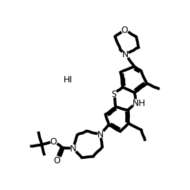 CCc1cc(N2CCCN(C(=O)OC(C)(C)C)CC2)cc2c1Nc1c(C)cc(N3CCOCC3)cc1S2.I